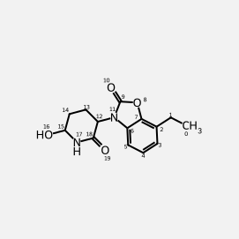 CCc1cccc2c1oc(=O)n2C1CCC(O)NC1=O